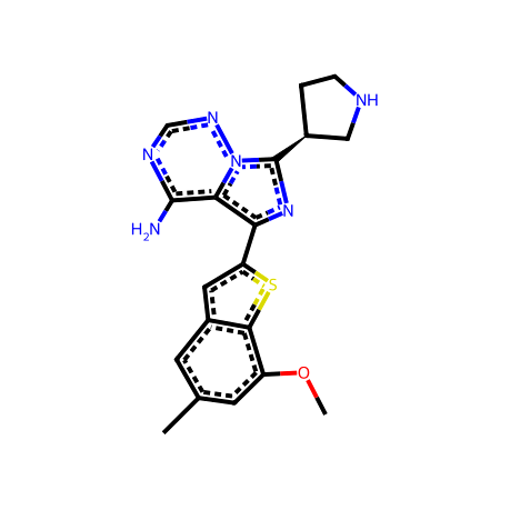 COc1cc(C)cc2cc(-c3nc([C@H]4CCNC4)n4ncnc(N)c34)sc12